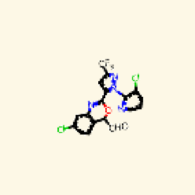 O=CC1OC(c2cc(C(F)(F)F)nn2-c2ncccc2Cl)=Nc2cc(Cl)ccc21